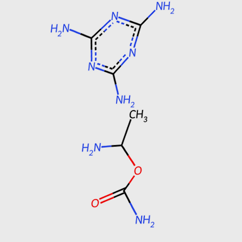 CC(N)OC(N)=O.Nc1nc(N)nc(N)n1